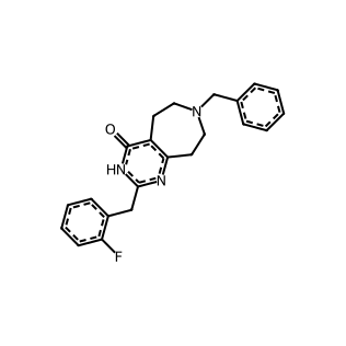 O=c1[nH]c(Cc2ccccc2F)nc2c1CCN(Cc1ccccc1)CC2